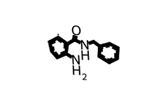 Nc1ccc[c]c1C(=O)NCc1ccccc1